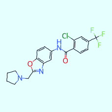 O=C(Nc1ccc2oc(CN3CCCC3)nc2c1)c1ccc(C(F)(F)F)cc1Cl